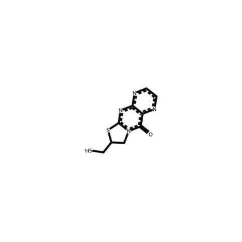 O=c1c2nccnc2nc2n1CC(CS)S2